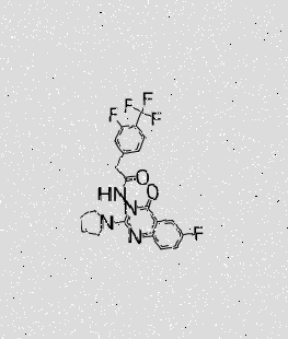 O=C(Cc1ccc(C(F)(F)F)c(F)c1)Nn1c(N2CCCC2)nc2ccc(F)cc2c1=O